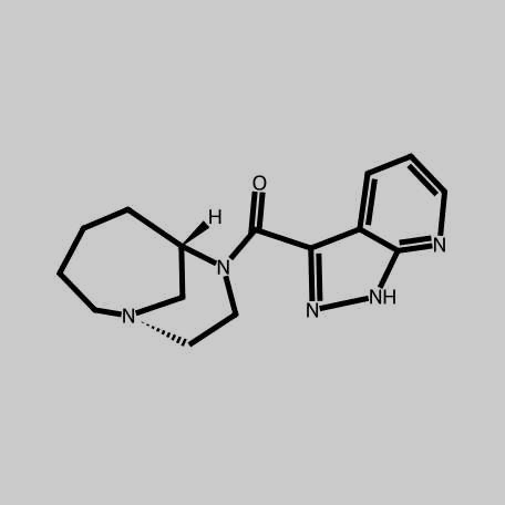 O=C(c1n[nH]c2ncccc12)N1CC[N@]2CCCC[C@H]1C2